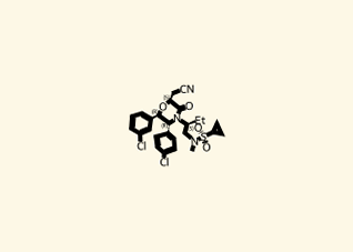 CC[C@@H](CN(C)S(=O)(=O)C1CC1)N1C(=O)[C@H](CC#N)O[C@H](c2cccc(Cl)c2)[C@H]1c1ccc(Cl)cc1